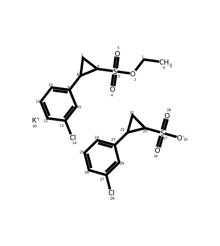 CCOS(=O)(=O)C1CC1c1cccc(Cl)c1.O=S(=O)([O-])C1CC1c1cccc(Cl)c1.[K+]